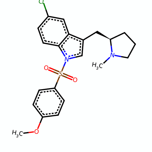 COc1ccc(S(=O)(=O)n2cc(C[C@H]3CCCN3C)c3cc(Cl)ccc32)cc1